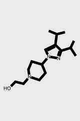 CC(C)c1cn(C2CCN(CCO)CC2)nc1C(C)C